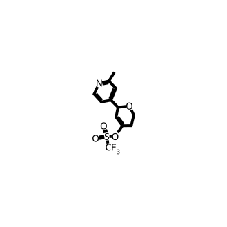 Cc1cc(C2C=C(OS(=O)(=O)C(F)(F)F)CCO2)ccn1